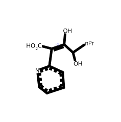 CCCC(O)/C(O)=C(/C(=O)O)c1ccccn1